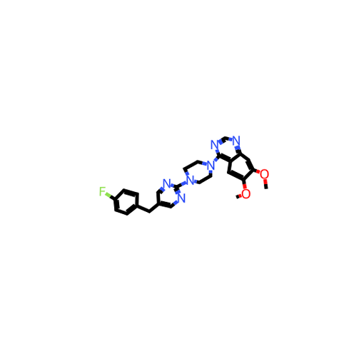 COc1cc2ncnc(N3CCN(c4ncc(Cc5ccc(F)cc5)cn4)CC3)c2cc1OC